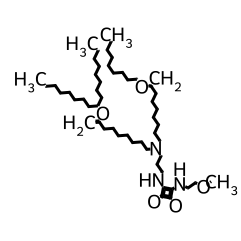 C=C(CCCCCCCN(CCCCCCCC(=C)OC(CCCCCCCC)CCCCCCCC)CCCNc1c(NCCOC)c(=O)c1=O)OCCCCCCCCC